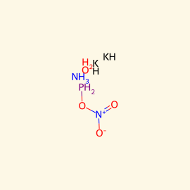 N.O.O=[N+]([O-])OP.[KH].[KH]